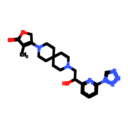 CC1=C(N2CCC3(CCN(CC(O)c4cccc(-n5cnnn5)n4)CC3)CC2)COC1=O